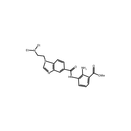 CCN(CC)CCn1cnc2cc(C(=O)Nc3cccc(C(=O)OC)c3N)ccc21